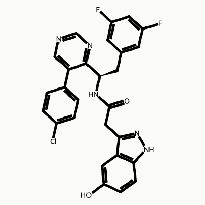 O=C(Cc1n[nH]c2ccc(O)cc12)N[C@H](Cc1cc(F)cc(F)c1)c1ncncc1-c1ccc(Cl)cc1